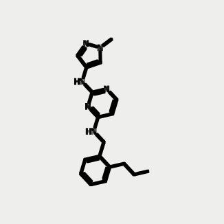 CCCc1ccccc1CNc1ccnc(Nc2cnn(C)c2)n1